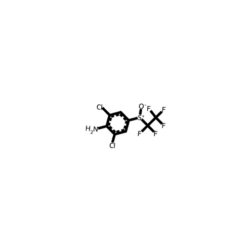 Nc1c(Cl)cc([S+]([O-])C(F)(F)C(F)(F)F)cc1Cl